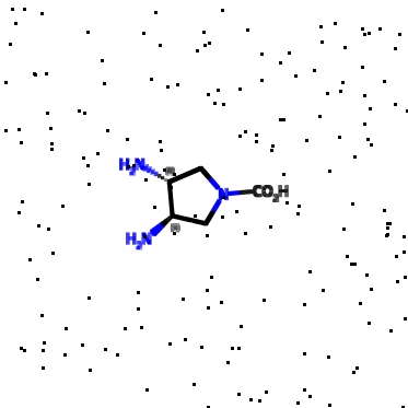 N[C@@H]1CN(C(=O)O)C[C@H]1N